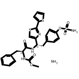 COC(=O)N[C@@H](Cc1ccccc1)C(=O)N[C@@H](Cc1ccc(OS(N)(=O)=O)cc1)c1csc(-c2cccs2)n1.N